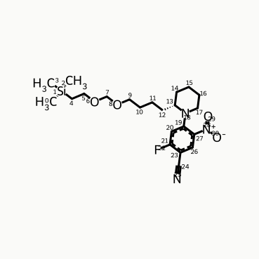 C[Si](C)(C)CCOCOCCCC[C@@H]1CCCCN1c1cc(F)c(C#N)cc1[N+](=O)[O-]